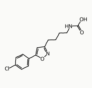 O=C(O)NCCCCc1cc(-c2ccc(Cl)cc2)on1